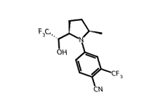 C[C@@H]1CC[C@H]([C@H](O)C(F)(F)F)N1c1ccc(C#N)c(C(F)(F)F)c1